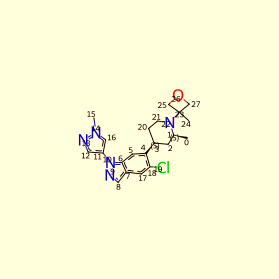 C[C@H]1C[C@@H](c2cc3c(cnn3-c3cnn(C)c3)cc2Cl)CCN1C1(C)COC1